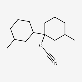 CC1CCCC(C2(OC#N)CCCC(C)C2)C1